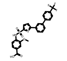 COc1cc(C(=O)O)ccc1NS(=O)(=O)c1ccc(-c2cccc(-c3ccc(C(F)(F)F)cc3)c2)s1